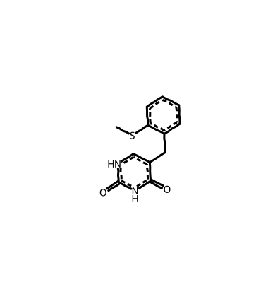 CSc1ccccc1Cc1c[nH]c(=O)[nH]c1=O